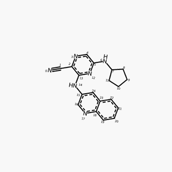 N#Cc1ncc(NC2CCCC2)nc1Nc1cnc2ccccc2c1